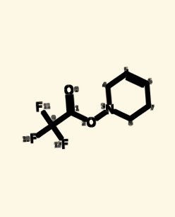 O=C(ON1CC=CCC1)C(F)(F)F